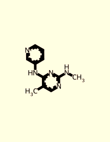 CNc1ncc(C)c(Nc2cccnc2)n1